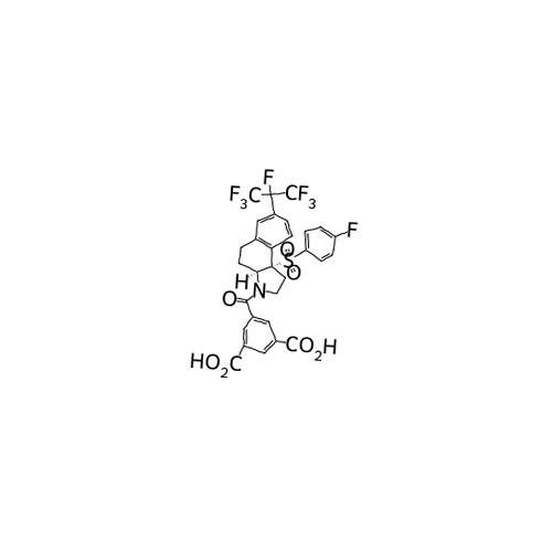 O=C(O)c1cc(C(=O)O)cc(C(=O)N2CC[C@]3(S(=O)(=O)c4ccc(F)cc4)c4ccc(C(F)(C(F)(F)F)C(F)(F)F)cc4CC[C@H]23)c1